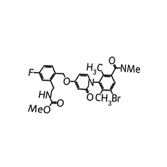 CNC(=O)c1cc(Br)c(C)c(-n2ccc(OCc3ccc(F)cc3CNC(=O)OC)cc2=O)c1C